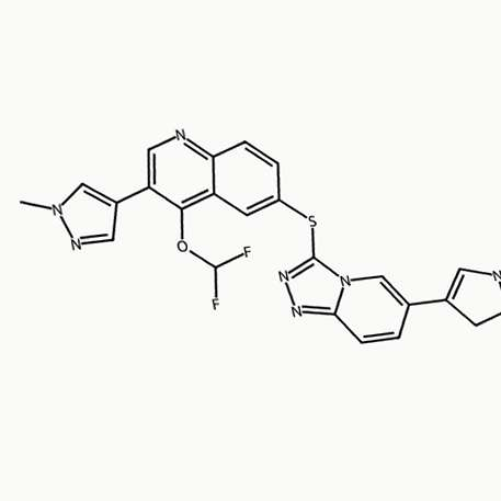 CN1C=C(c2ccc3nnc(Sc4ccc5ncc(-c6cnn(C)c6)c(OC(F)F)c5c4)n3c2)CN1